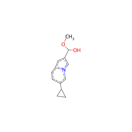 COC(O)c1cc2ccc(C3CC3)cn2c1